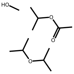 CC(=O)OC(C)C.CC(C)OC(C)C.CO